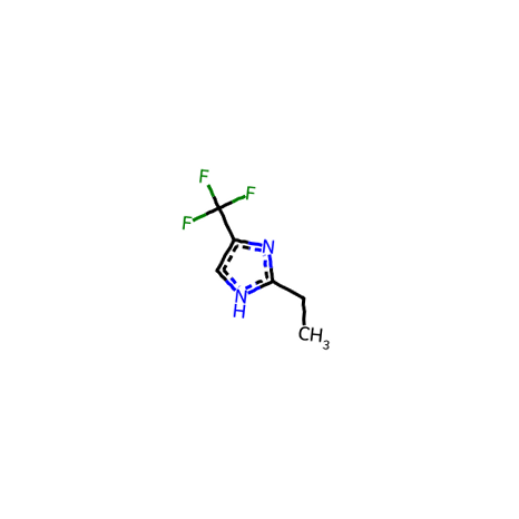 CCc1nc(C(F)(F)F)c[nH]1